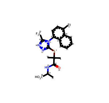 CCc1ccc(-n2c(SC(C)(C)C(=O)NC(C)C(=O)O)nnc2C(F)(F)F)c2ccccc12